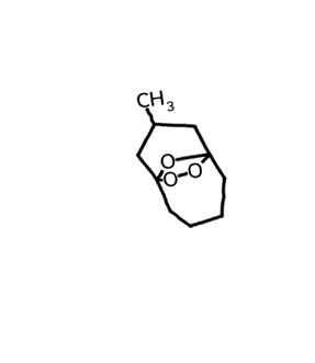 CC1CC23CCCCC(C1)(OO2)O3